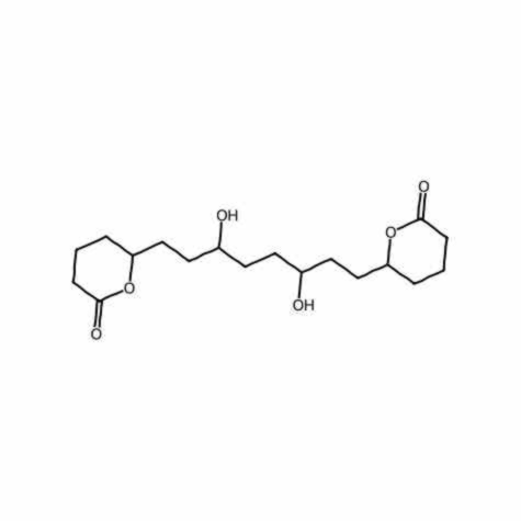 O=C1CCCC(CCC(O)CCC(O)CCC2CCCC(=O)O2)O1